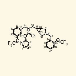 O=C(Oc1cscn1)N(Cc1cccc(OC(F)(F)F)c1)CC1C2CN(Cc3ccccc3OC(F)(F)F)CC21